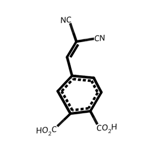 N#CC(C#N)=Cc1ccc(C(=O)O)c(C(=O)O)c1